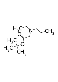 CCC=[N+](CC)CC(=O)OC(C)(C)C